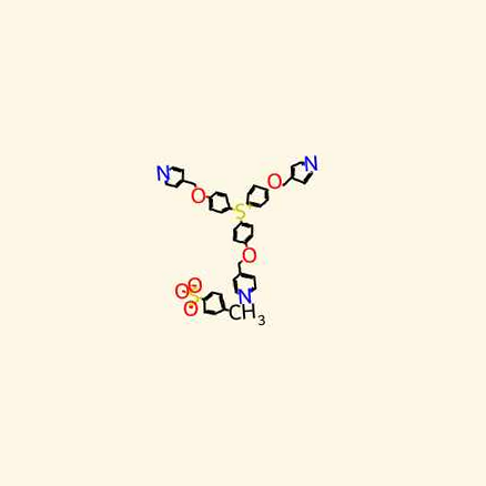 Cc1ccc(S(=O)(=O)[O-])cc1.c1cc(COc2ccc([S+](c3ccc(OCc4ccncc4)cc3)c3ccc(OCc4ccncc4)cc3)cc2)ccn1